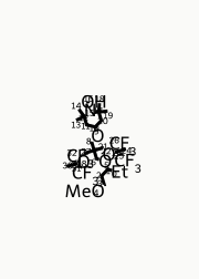 CCC(CCOC)OCC(COC1CC(C)(C)N(O)C(C)(C)C1)(COC(C)(C(F)(F)F)C(F)(F)F)COC(C)(C(F)(F)F)C(F)(F)F